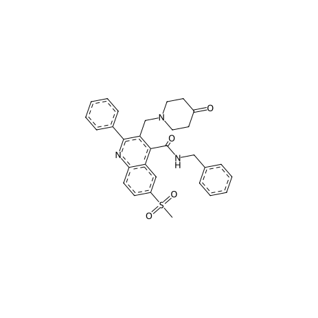 CS(=O)(=O)c1ccc2nc(-c3ccccc3)c(CN3CCC(=O)CC3)c(C(=O)NCc3ccccc3)c2c1